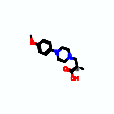 COc1ccc(N2CCN(C[C@H](C)C(=O)O)CC2)cc1